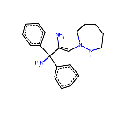 NC(=CN1CCCCCN1)C(N)(c1ccccc1)c1ccccc1